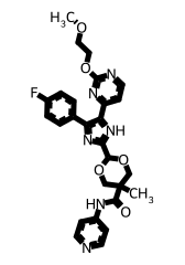 COCCOc1nccc(-c2[nH]c(C3OCC(C)(C(=O)Nc4ccncc4)CO3)nc2-c2ccc(F)cc2)n1